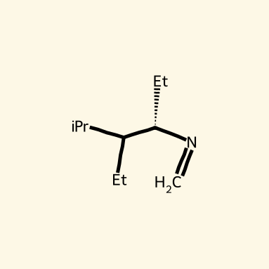 C=N[C@@H](CC)C(CC)C(C)C